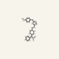 COc1ccc(Cc2noc(CCC3CCC(C(c4ccccc4)N(C)C)CC3)n2)cc1